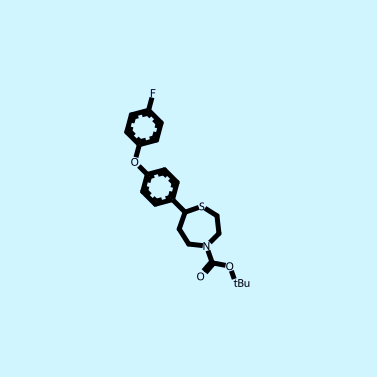 CC(C)(C)OC(=O)N1CCSC(c2ccc(Oc3ccc(F)cc3)cc2)CC1